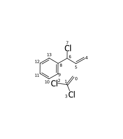 C=C(Cl)Cl.C=CC(Cl)c1ccccc1